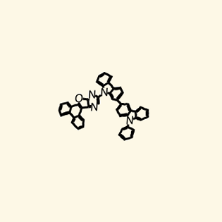 c1ccc(-n2c3ccccc3c3cc(-c4ccc5c6ccccc6n(-c6cnc7c(n6)oc6c8ccccc8c8ccccc8c76)c5c4)ccc32)cc1